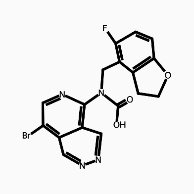 O=C(O)N(Cc1c(F)ccc2c1CCO2)c1ncc(Br)c2cnncc12